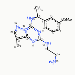 COc1cccc(C(C)Nc2nc(NCCN)nc3c(C(C)C)cnn23)c1